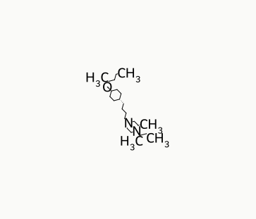 CCCC(C)O[C@H]1CC[C@H](CCCCN2CCN(C(C)CC)[C@@H](C)C2)CC1